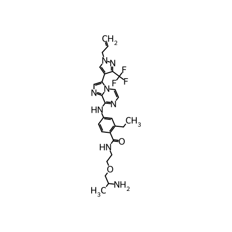 C=CCn1cc(-c2cnc3c(Nc4ccc(C(=O)NCCOCC(C)N)c(CC)c4)nccn23)c(C(F)(F)F)n1